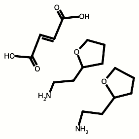 NCCC1CCCO1.NCCC1CCCO1.O=C(O)/C=C/C(=O)O